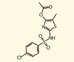 CC(=O)Oc1nc(NS(=O)(=O)c2ccc(Cl)cc2)sc1C